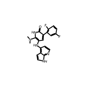 CN(C)c1[nH]c(=O)c(-c2cc(F)ccc2F)cc1Nc1ccnc2[nH]ccc12